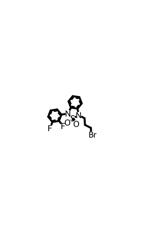 O=S1(=O)N(CCCBr)c2ccccc2N1c1cccc(F)c1F